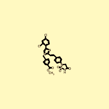 COC(=O)c1ccc(Cn2cc(-c3ccc(Cl)cc3Cl)nc2C=Cc2ccc(N3CC(=O)NS3(=O)=O)cc2)cc1